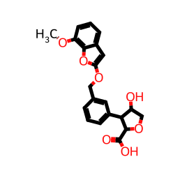 COc1cccc2cc(OCc3cccc(C4C(O)COC4C(=O)O)c3)oc12